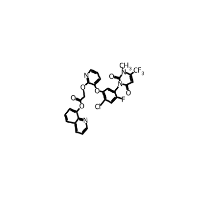 Cn1c(C(F)(F)F)cc(=O)n(-c2cc(Oc3cccnc3OCC(=O)Oc3cccc4cccnc34)c(Cl)cc2F)c1=O